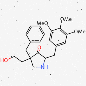 COc1cc(CC2NCC(CCO)(Cc3ccccc3)C2=O)cc(OC)c1OC